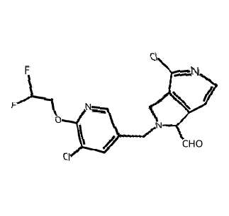 O=CC1c2ccnc(Cl)c2CN1Cc1cnc(OCC(F)F)c(Cl)c1